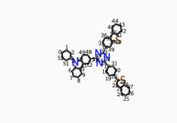 c1ccc(-n2c3ccccc3c3cc(-c4nc(-c5ccc(-c6cc7ccccc7s6)cc5)nc(-c5ccc6c(c5)sc5ccccc56)n4)ccc32)cc1